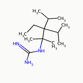 CCC(C(C)C)(C(C)C)C(C)(C)NC(=N)N